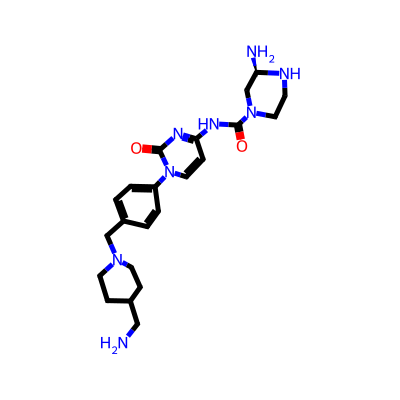 NCC1CCN(Cc2ccc(-n3ccc(NC(=O)N4CCN[C@H](N)C4)nc3=O)cc2)CC1